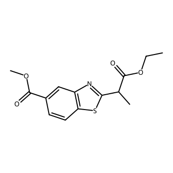 CCOC(=O)C(C)c1nc2cc(C(=O)OC)ccc2s1